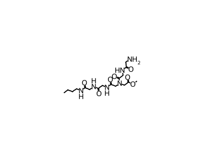 CCCCNC(=O)CNC(=O)CNC(=O)CN(CC(=O)OC)C(=O)CNC(=O)CN